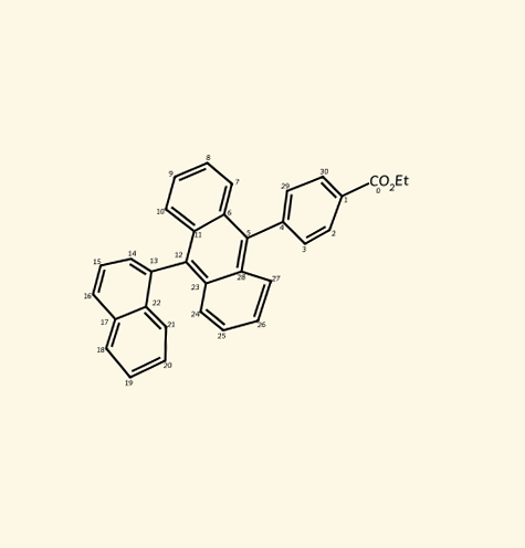 CCOC(=O)c1ccc(-c2c3ccccc3c(-c3cccc4ccccc34)c3ccccc23)cc1